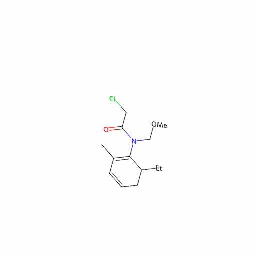 CCC1CC=CC(C)=C1N(COC)C(=O)CCl